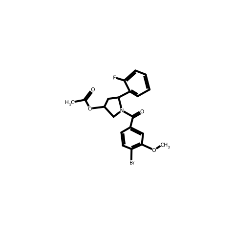 COc1cc(C(=O)N2CC(OC(C)=O)CC2c2ccccc2F)ccc1Br